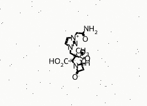 C[C@@]1(Cn2cc[n+](CC(N)=O)n2)[C@@H](C(=O)O)N2C(=O)C[C@H]2S1(=O)=O